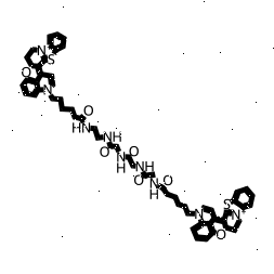 O=C(CCCCCN1C=CC2=C3c4sc5ccccc5[n+]4CCC3Oc3cccc1c32)NCCNC(=O)CNC(=O)CNC(=O)CNC(=O)CCCCCN1C=CC2=C3c4sc5ccccc5[n+]4CCC3Oc3cccc1c32